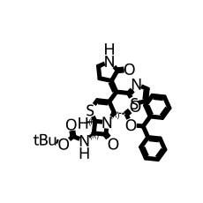 CC(C)(C)OC(=O)N[C@@H]1C(=O)N2[C@@H](C(=O)OC(c3ccccc3)c3ccccc3)C(C(=C3CCNC3=O)c3nccs3)=CS[C@H]12